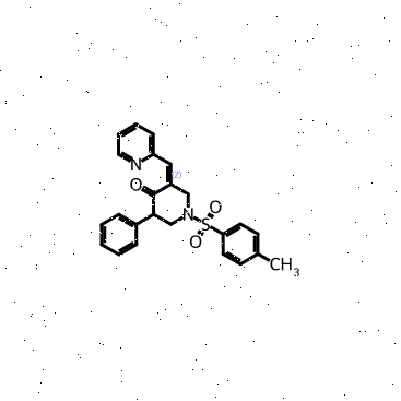 Cc1ccc(S(=O)(=O)N2C/C(=C/c3ccccn3)C(=O)C(c3ccccc3)C2)cc1